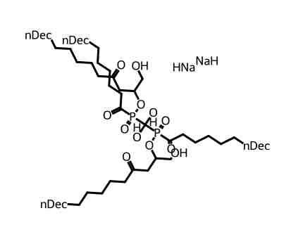 CCCCCCCCCCCCCCCC(=O)CC(CO)OP(=O)(C(=O)CCCCCCCCCCCCCCC)C(O)(O)P(=O)(OC(CO)CC(=O)CCCCCCCCCCCCCCC)C(=O)CCCCCCCCCCCCCCC.[NaH].[NaH]